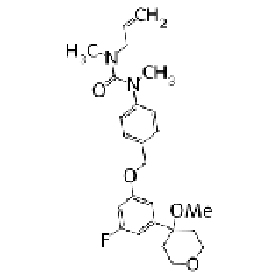 C=CCN(C)C(=O)N(C)c1ccc(COc2cc(F)cc(C3(OC)CCOCC3)c2)cc1